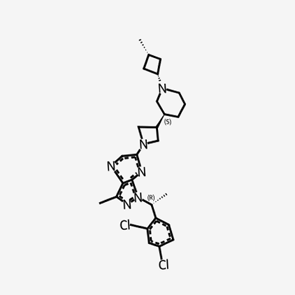 Cc1nn([C@H](C)c2ccc(Cl)cc2Cl)c2nc(N3CC([C@@H]4CCCN([C@H]5C[C@@H](C)C5)C4)C3)cnc12